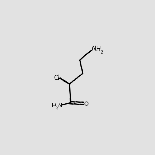 NCCC(Cl)C(N)=O